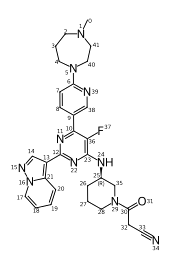 CN1CCCN(c2ccc(-c3nc(-c4cnn5ccccc45)nc(N[C@@H]4CCCN(C(=O)CC#N)C4)c3F)cn2)CC1